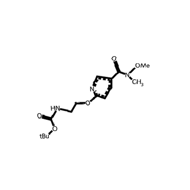 CON(C)C(=O)c1ccc(OCCNC(=O)OC(C)(C)C)nc1